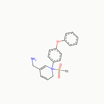 CCS(=O)(=O)[N+]1(c2ccc(Oc3ccccc3)cc2)C=C(CN)C=CC1